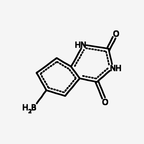 Bc1ccc2[nH]c(=O)[nH]c(=O)c2c1